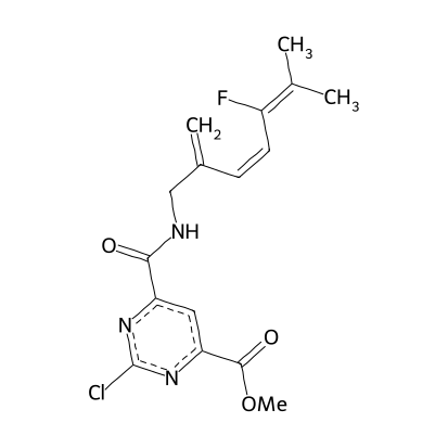 C=C(/C=C\C(F)=C(C)C)CNC(=O)c1cc(C(=O)OC)nc(Cl)n1